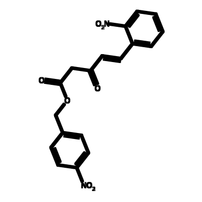 O=C(C=Cc1ccccc1[N+](=O)[O-])CC(=O)OCc1ccc([N+](=O)[O-])cc1